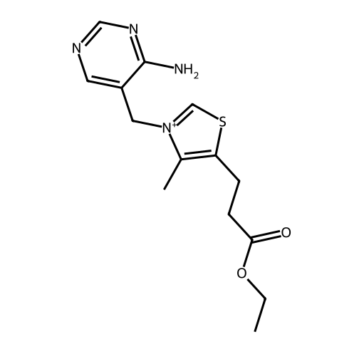 CCOC(=O)CCc1sc[n+](Cc2cncnc2N)c1C